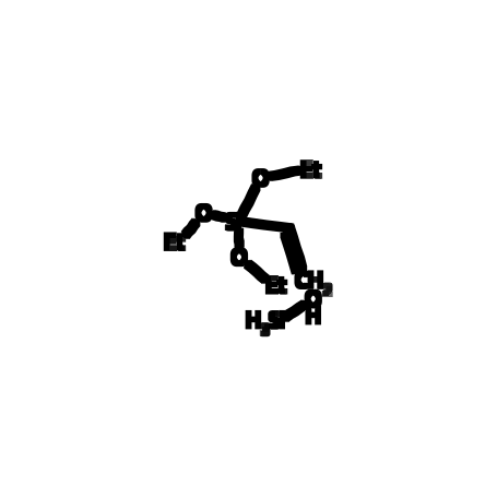 C=C[Si](OCC)(OCC)OCC.O[SiH3]